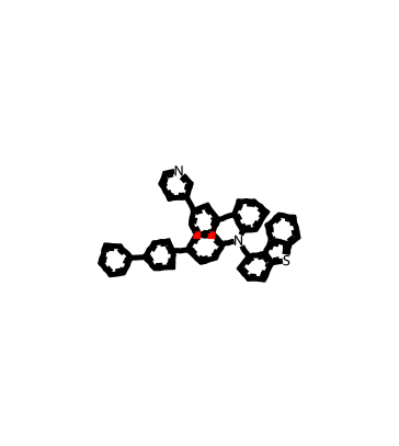 c1ccc(-c2ccc(-c3ccc(N(c4ccccc4-c4cccc(-c5cccnc5)c4)c4cccc5sc6ccccc6c45)cc3)cc2)cc1